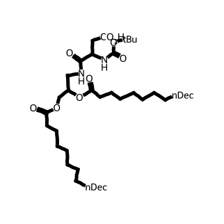 CCCCCCCCCCCCCCCCCC(=O)OCC(CNC(=O)C(CC(=O)O)NC(=O)OC(C)(C)C)OC(=O)CCCCCCCCCCCCCCCCC